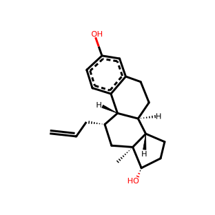 C=CC[C@H]1C[C@]2(C)[C@@H](O)CC[C@H]2[C@@H]2CCc3cc(O)ccc3[C@@H]12